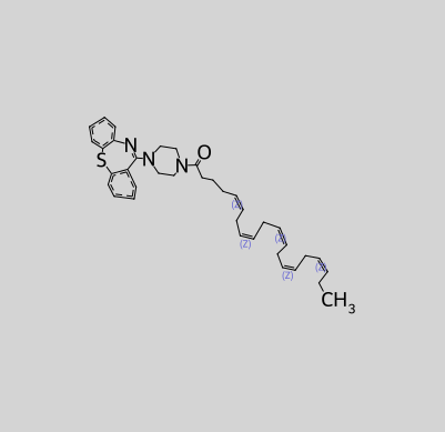 CC/C=C\C/C=C\C/C=C\C/C=C\C/C=C\CCCC(=O)N1CCN(C2=Nc3ccccc3Sc3ccccc32)CC1